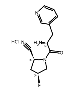 Cl.N#C[C@@H]1C[C@H](F)CN1C(=O)[C@@H](N)Cc1cccnc1